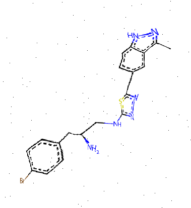 Cc1n[nH]c2ccc(-c3nnc(NC[C@@H](N)Cc4ccc(Br)cc4)s3)cc12